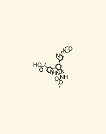 CCOC(=O)Nc1nc2cc(-c3ccc(CN4CCOCC4)nc3)cc(-c3cc(C(C)C(=O)O)ccn3)c2[nH]1